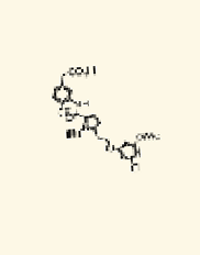 CC[C@H](C)n1c(CCOc2cc(Cl)nc(OC)c2)ccc1C(=O)Nc1cc(CC(=O)O)ccc1C(F)(F)F